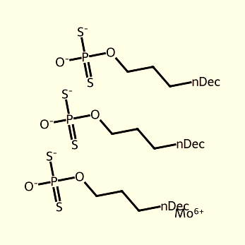 CCCCCCCCCCCCCOP([O-])(=S)[S-].CCCCCCCCCCCCCOP([O-])(=S)[S-].CCCCCCCCCCCCCOP([O-])(=S)[S-].[Mo+6]